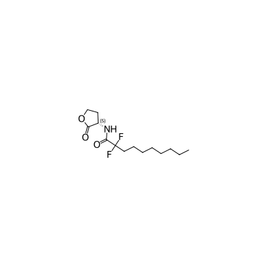 CCCCCCCCC(F)(F)C(=O)N[C@H]1CCOC1=O